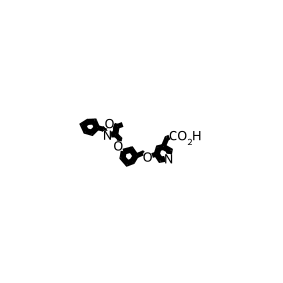 Cc1oc(-c2ccccc2)nc1COc1cccc(COc2cncc(CC(=O)O)c2)c1